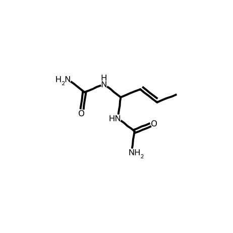 CC=CC(NC(N)=O)NC(N)=O